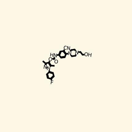 Cc1nn(-c2ccc(F)cc2)c(C)c1OC(=O)Nc1ccc(N2CCN(CCO)CC2)c(C#N)c1